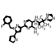 C=C(NC1C=NC(c2cc(C3=NCC=C3)n(Cc3ccccc3F)n2)=NC1N)C(C)(C)n1cncn1